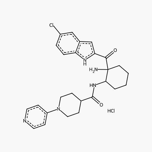 Cl.NC1(C(=O)c2cc3cc(Cl)ccc3[nH]2)CCCCC1NC(=O)C1CCN(c2ccncc2)CC1